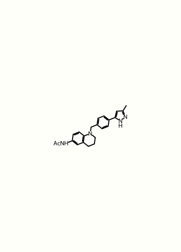 CC(=O)Nc1ccc2c(c1)CCCN2Cc1ccc(-c2cc(C)n[nH]2)cc1